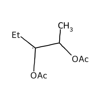 CC[C](OC(C)=O)C(C)OC(C)=O